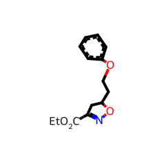 CCOC(=O)C1=NOC(CCOc2ccccc2)C1